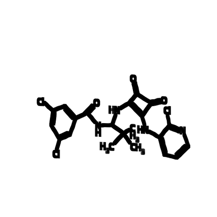 CC(C)(C)C(NC(=O)c1cc(Cl)cc(Cl)c1)Nc1c(Nc2cccnc2Cl)c(=O)c1=O